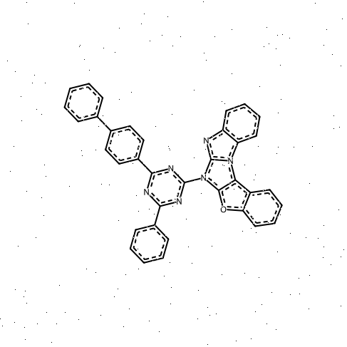 c1ccc(-c2ccc(-c3nc(-c4ccccc4)nc(-n4c5oc6ccccc6c5n5c6ccccc6nc45)n3)cc2)cc1